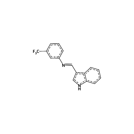 FC(F)(F)c1cccc(/N=C/c2c[nH]c3ccccc23)c1